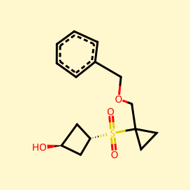 O=S(=O)([C@H]1C[C@H](O)C1)C1(COCc2ccccc2)CC1